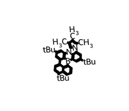 Cc1c(C)c2n3c4c(cc(C(C)(C)C)cc4n2c1C)B1c2c(cc(C(C)(C)C)cc2-3)-c2ccc(C(C)(C)C)c3cccc1c23